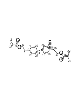 C=C(C)C(=O)OCCc1ccc(-c2ccc(CCOC(=O)C(=C)C)c(F)c2)cc1